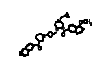 COc1cccc2cc(C(=O)[C@H]3CN(CC4CC4)CC[C@H]3CC3CC(N4CCCC(C(=O)c5ccc6cnccc6c5)C4)C3)ccc12